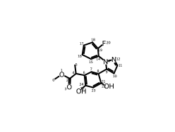 COC(=O)C(C)c1cc(-c2ccnn2-c2ccccc2F)c(O)cc1O